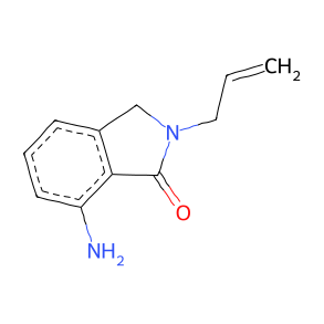 C=CCN1Cc2cccc(N)c2C1=O